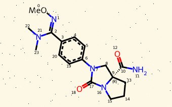 CON=C(c1ccc(N2C[C@@]3(C(N)=O)[CH]CCN3C2=O)cc1)N(C)C